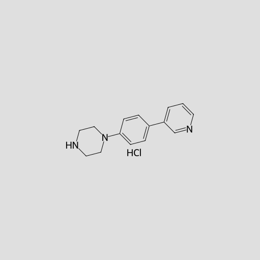 Cl.c1cncc(-c2ccc(N3CCNCC3)cc2)c1